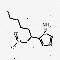 CCCCCC(C[N+](=O)[O-])C1=CN=C[SH]1N